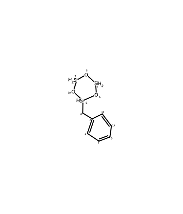 c1ccc(C[SiH]2O[SiH2]O[SiH2]O2)cc1